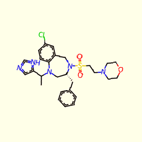 CC(c1cnc[nH]1)N1C[C@@H](Cc2ccccc2)N(S(=O)(=O)CCN2CCOCC2)Cc2cc(Cl)ccc21